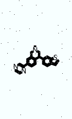 CN1Cc2cc(-c3cnccn3)ccc2C(c2ccc3ccsc3c2)C1